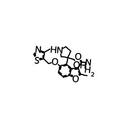 Cc1ncsc1COc1ccc2oc(C)c(C(N)=O)c2c1C1(CO)CCNC1